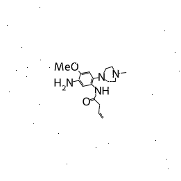 C=CCC(=O)Nc1cc(N)c(OC)cc1N1CCN(C)CC1